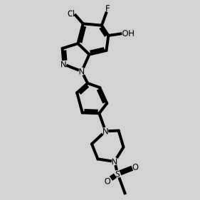 CS(=O)(=O)N1CCN(c2ccc(-n3ncc4c(Cl)c(F)c(O)cc43)cc2)CC1